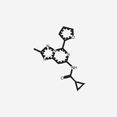 Cc1nc2cc(NC(=O)C3CC3)nc(-c3ccco3)n2n1